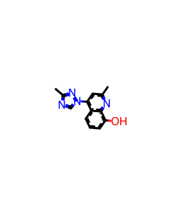 Cc1cc(-n2cnc(C)n2)c2cccc(O)c2n1